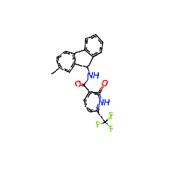 Cc1ccc2c(c1)C(NC(=O)c1ccc(C(F)(F)F)[nH]c1=O)c1ccccc1-2